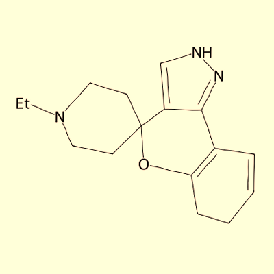 CCN1CCC2(CC1)OC1=C(C=CCC1)c1n[nH]cc12